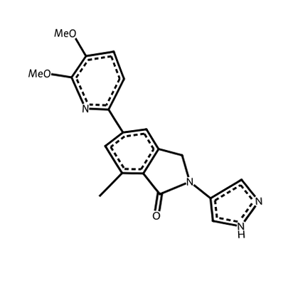 COc1ccc(-c2cc(C)c3c(c2)CN(c2cn[nH]c2)C3=O)nc1OC